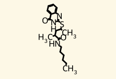 CCCCCCNC(=O)C(C)CC(C)Sc1nc2ccccc2c(=O)[nH]1